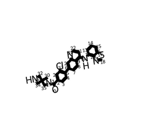 O=C(c1ccc(-c2ccc3c(Nc4cccc5scnc45)ccnc3c2)c(Cl)c1)N1CC2(CNC2)C1